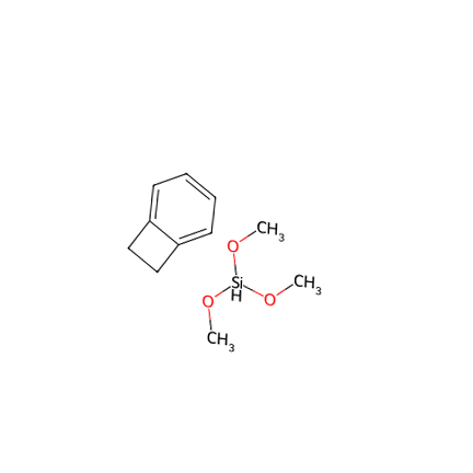 CO[SiH](OC)OC.c1ccc2c(c1)CC2